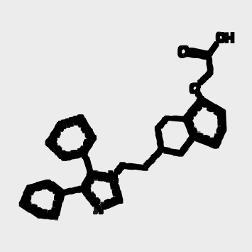 O=C(O)COc1cccc2c1CCC(CCn1cnc(-c3ccccc3)c1-c1ccccc1)C2